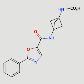 O=C(O)NC12CC(NC(=O)c3cnc(-c4ccccc4)o3)(C1)C2